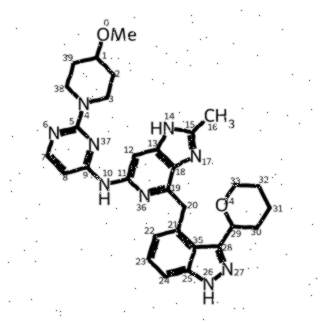 COC1CCN(c2nccc(Nc3cc4[nH]c(C)nc4c(Cc4cccc5[nH]nc(C6CCCCO6)c45)n3)n2)CC1